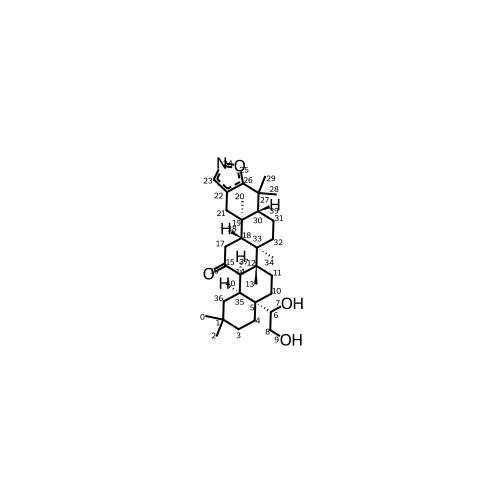 CC1(C)CC[C@]2(C(O)CO)CC[C@]3(C)[C@H](C(=O)C[C@@H]4[C@@]5(C)Cc6cnoc6C(C)(C)[C@@H]5CC[C@]43C)[C@@H]2C1